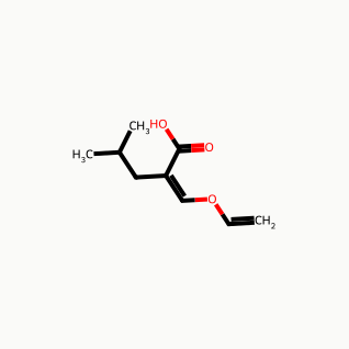 C=COC=C(CC(C)C)C(=O)O